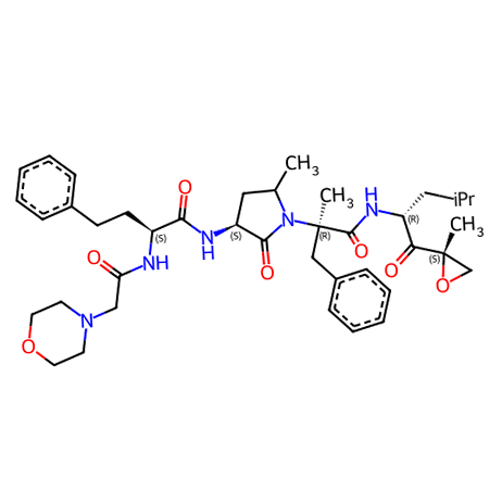 CC(C)C[C@@H](NC(=O)[C@@](C)(Cc1ccccc1)N1C(=O)[C@@H](NC(=O)[C@H](CCc2ccccc2)NC(=O)CN2CCOCC2)CC1C)C(=O)[C@]1(C)CO1